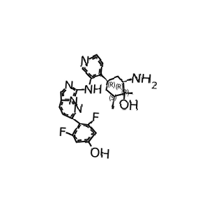 C[C@H]1C[C@@H](c2ccncc2Nc2ncc3ccc(-c4c(F)cc(O)cc4F)nn23)C[C@@H](N)[C@]1(C)O